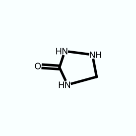 O=C1NCNN1